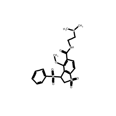 COc1c(C(=O)NCCN(C)C)ccc2c1C(S(=O)(=O)c1ccccc1)CS2(=O)=O